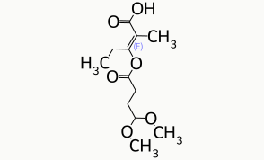 CC/C(OC(=O)CCC(OC)OC)=C(/C)C(=O)O